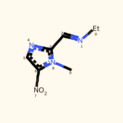 CC/N=C/c1ncc([N+](=O)[O-])n1C